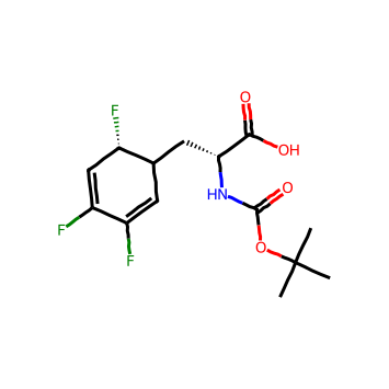 CC(C)(C)OC(=O)N[C@H](CC1C=C(F)C(F)=C[C@@H]1F)C(=O)O